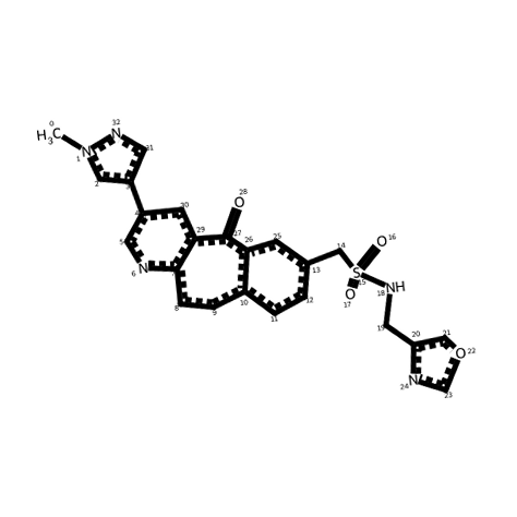 Cn1cc(-c2cnc3ccc4ccc(CS(=O)(=O)NCc5cocn5)cc4c(=O)c3c2)cn1